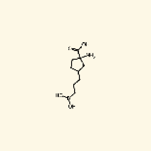 NC1(C(=O)O)CCC(CCCB(O)O)C1